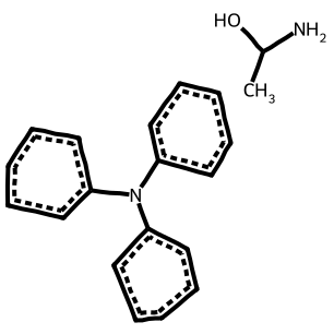 CC(N)O.c1ccc(N(c2ccccc2)c2ccccc2)cc1